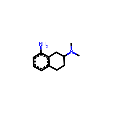 CN(C)C1CCc2cccc(N)c2C1